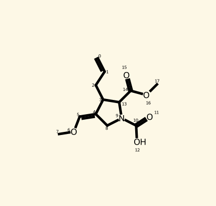 C=CCC1C(=COC)CN(C(=O)O)C1C(=O)OC